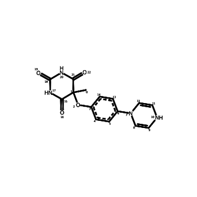 CC1(Oc2ccc(N3C=CNC=C3)cc2)C(=O)NC(=O)NC1=O